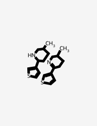 CC1CCC(c2ccsc2)=NC1.CC1CCC(c2ccsc2)NC1